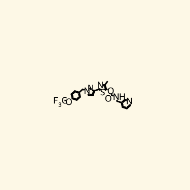 Cc1nc(-c2ccn(Cc3ccc(OC(F)(F)F)cc3)n2)sc1OC(=O)NCc1cccnc1